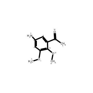 COc1cc(N)cc(C(C)=O)c1OC